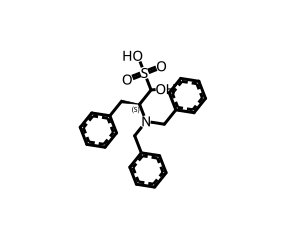 O=S(=O)(O)C(O)[C@H](Cc1ccccc1)N(Cc1ccccc1)Cc1ccccc1